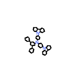 c1ccc(-c2cc(-c3ccccc3)cc(N(c3ccc(-n4c5ccccc5c5ccccc54)cc3)c3ccc(-n4c5ccccc5c5ccccc54)cc3)c2)cc1